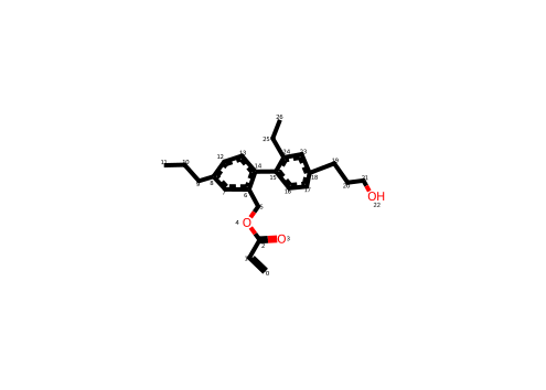 C=CC(=O)OCc1cc(CCC)ccc1-c1ccc(CCCO)cc1CC